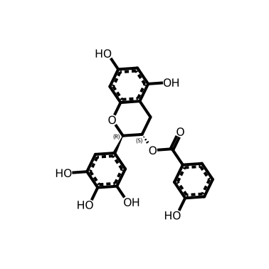 O=C(O[C@H]1Cc2c(O)cc(O)cc2O[C@@H]1c1cc(O)c(O)c(O)c1)c1cccc(O)c1